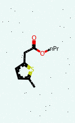 CCCOC(=O)Cc1ccc(C)s1